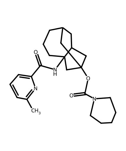 Cc1cccc(C(=O)NC23CCCC4CC2CC(OC(=O)N2CCCCC2)(C4)C3)n1